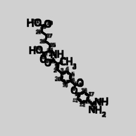 C/C(=C\c1ccc(C(=O)Oc2ccc(C(=N)N)cc2)cc1)C(=O)NC(CCCCC(=O)O)C(=O)O